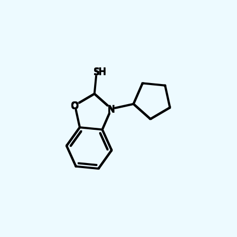 SC1Oc2ccccc2N1C1CCCC1